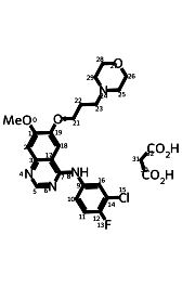 COc1cc2ncnc(Nc3ccc(F)c(Cl)c3)c2cc1OCCCN1CCOCC1.O=C(O)CC(=O)O